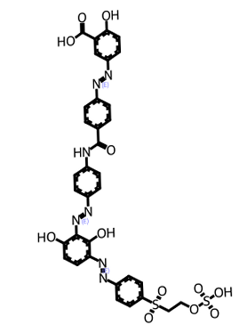 O=C(Nc1ccc(/N=N/c2c(O)ccc(/N=N/c3ccc(S(=O)(=O)CCOS(=O)(=O)O)cc3)c2O)cc1)c1ccc(/N=N/c2ccc(O)c(C(=O)O)c2)cc1